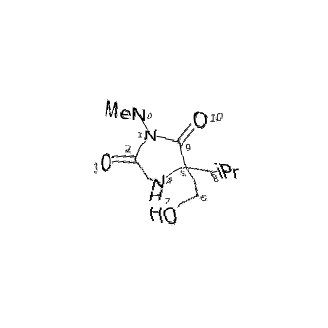 CNN1C(=O)NC(CO)(C(C)C)C1=O